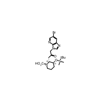 CC(C)(C)[Si](C)(C)O[C@H]1CCCN(C(=O)O)[C@@H]1CC(=O)Cn1cnc2cc(Br)cnc21